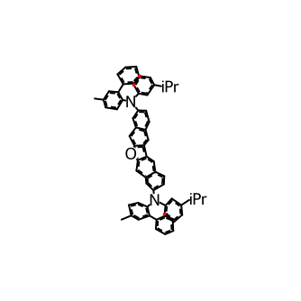 Cc1ccc(N(c2cccc(C(C)C)c2)c2ccc3cc4c(cc3c2)oc2cc3cc(N(c5cccc(C(C)C)c5)c5ccc(C)cc5-c5ccccc5)ccc3cc24)c(-c2ccccc2)c1